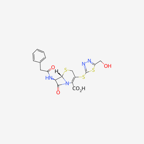 O=C(Cc1ccccc1)N[C@@H]1C(=O)N2C(C(=O)O)=C(Sc3nnc(CO)s3)CS[C@@H]12